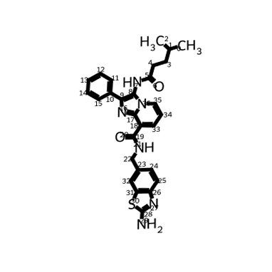 CC(C)CCC(=O)Nc1c(-c2ccccc2)nc2c(C(=O)NCc3ccc4nc(N)sc4c3)cccn12